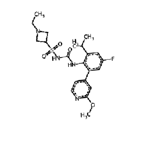 CCN1CC(S(=O)(=O)NC(=O)Nc2c(-c3ccnc(OC)c3)cc(F)cc2C(C)C)C1